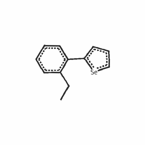 CCc1ccccc1-c1ccc[se]1